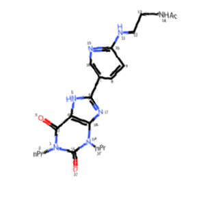 CCCn1c(=O)c2[nH]c(-c3ccc(NCCNC(C)=O)nc3)nc2n(CCC)c1=O